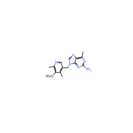 COc1c(C)ncc(Cn2cnc3c(C)nc(N)nc32)c1C